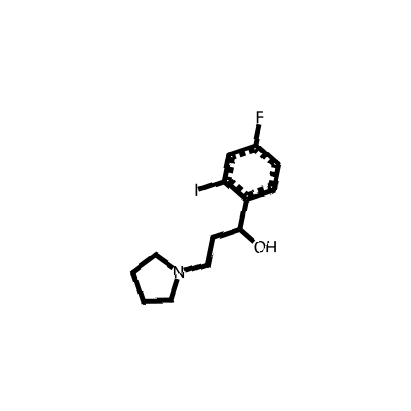 OC(CCN1CCCC1)c1ccc(F)cc1I